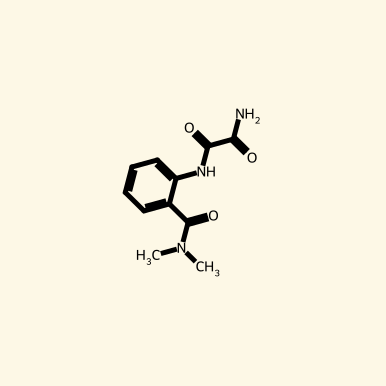 CN(C)C(=O)c1ccccc1NC(=O)C(N)=O